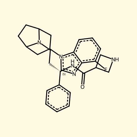 O=C(N[C@@H](CCN1C2CCC1CC(n1cnc3c(F)cccc31)C2)c1ccccc1)C1CNC1